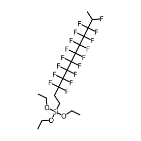 CCO[Si](CCC(F)(F)C(F)(F)C(F)(F)C(F)(F)C(F)(F)C(F)(F)C(F)(F)C(F)(F)C(C)F)(OCC)OCC